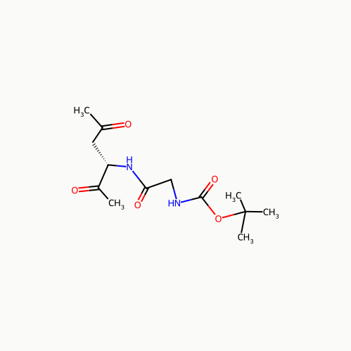 CC(=O)C[C@H](NC(=O)CNC(=O)OC(C)(C)C)C(C)=O